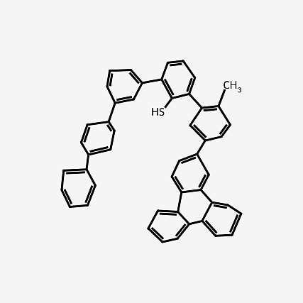 Cc1ccc(-c2ccc3c4ccccc4c4ccccc4c3c2)cc1-c1cccc(-c2cccc(-c3ccc(-c4ccccc4)cc3)c2)c1S